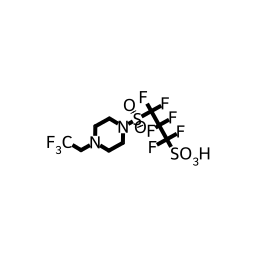 O=S(=O)(O)C(F)(F)C(F)(F)C(F)(F)S(=O)(=O)N1CCN(CC(F)(F)F)CC1